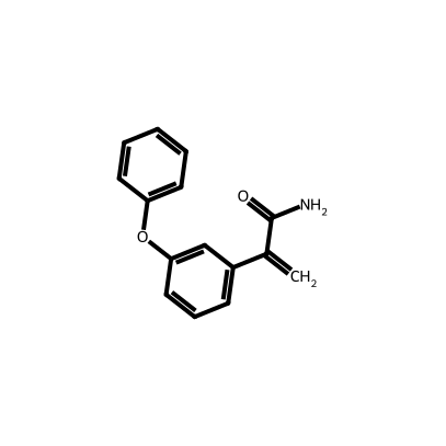 C=C(C(N)=O)c1cccc(Oc2ccccc2)c1